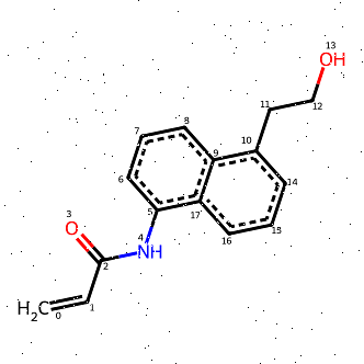 C=CC(=O)Nc1cccc2c(CCO)cccc12